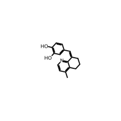 Cc1ccnc2c1CCC/C2=C/c1ccc(O)c(O)c1